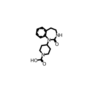 O=C(O)N1CCC(N2C(=O)NCCc3ccccc32)CC1